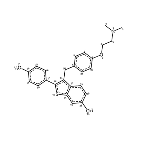 CN(C)CCOc1ccc(Cc2c(-c3ccc(O)cc3)sc3cc(O)ccc23)cc1